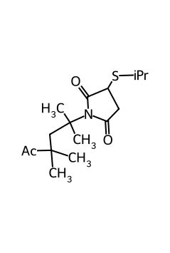 CC(=O)C(C)(C)CC(C)(C)N1C(=O)CC(SC(C)C)C1=O